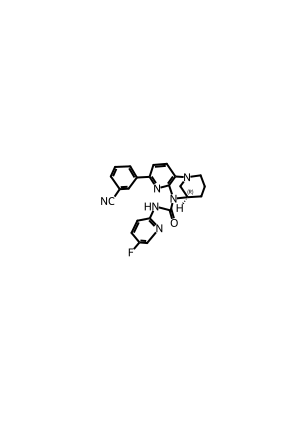 N#Cc1cccc(-c2ccc3c(n2)N(C(=O)Nc2ccc(F)cn2)[C@@H]2CCCN3C2)c1